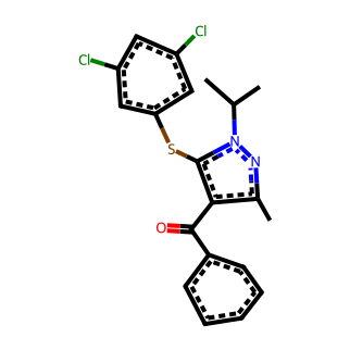 Cc1nn(C(C)C)c(Sc2cc(Cl)cc(Cl)c2)c1C(=O)c1ccccc1